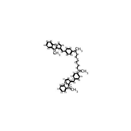 CN(CCSSCCN(C)c1ccc(/C=c2\ccn3c4ccccc4[n+](C)c23)cc1)c1ccc(/C=C2\C=C[n+]3c2n(C)c2ccccc23)cc1